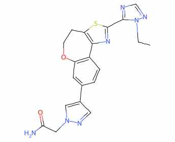 CCn1ncnc1-c1nc2c(s1)CCOc1cc(-c3cnn(CC(N)=O)c3)ccc1-2